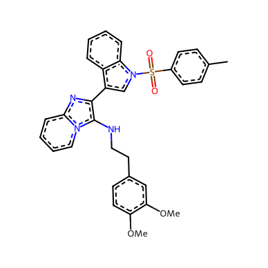 COc1ccc(CCNc2c(-c3cn(S(=O)(=O)c4ccc(C)cc4)c4ccccc34)nc3ccccn23)cc1OC